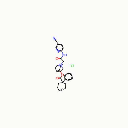 N#Cc1ccc(NC(=O)C[N+]23CCC(CC2)C(OC(=O)C2(c4ccccc4)CCCCCC2)C3)nc1.[Cl-]